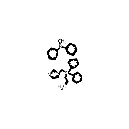 C=CC[Si](Cn1ccnc1)(c1ccccc1)c1ccccc1.CB(c1ccccc1)c1ccccc1